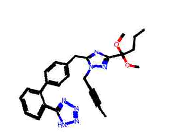 CC#CCn1nc(C(CCC)(OC)OC)nc1Cc1ccc(-c2ccccc2-c2nnn[nH]2)cc1